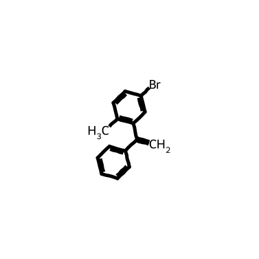 C=C(c1ccccc1)c1cc(Br)ccc1C